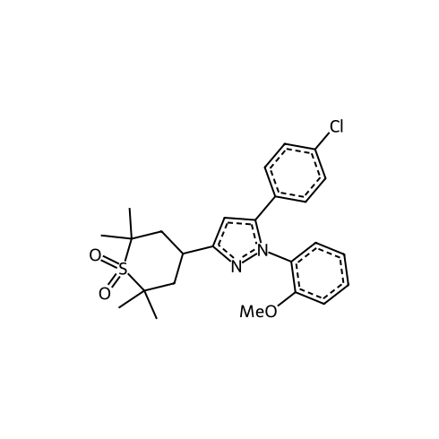 COc1ccccc1-n1nc(C2CC(C)(C)S(=O)(=O)C(C)(C)C2)cc1-c1ccc(Cl)cc1